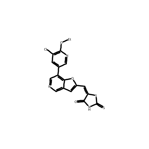 CCOc1ncc(-c2cncc3cc(C=C4SC(=S)NC4=O)oc23)cc1Cl